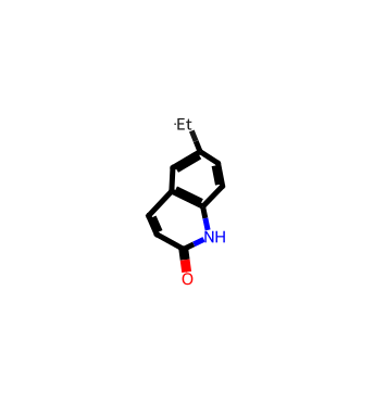 C[CH]c1ccc2[nH]c(=O)ccc2c1